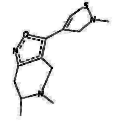 CC1Cc2noc(C3=CSN(C)C3)c2CN1C